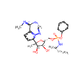 C=Nn1c(/C(N)=N\C)ccc1[C@]1(C)O[C@H](COP(=O)(N[C@@H](C)C(=O)OCC)Oc2ccccc2)[C@@H](O)[C@H]1O